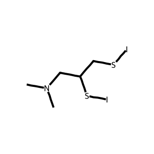 CN(C)CC(CSI)SI